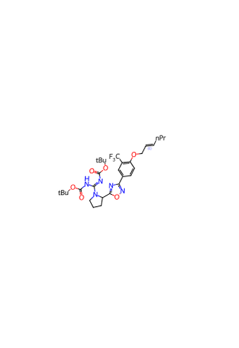 CCC/C=C/COc1ccc(-c2noc(C3CCCN3C(=NC(=O)OC(C)(C)C)NC(=O)OC(C)(C)C)n2)cc1C(F)(F)F